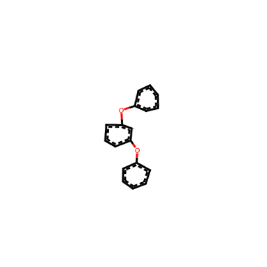 [c]1c(Oc2ccccc2)cccc1Oc1ccccc1